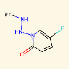 CC(C)NNn1cc(F)ccc1=O